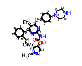 CCc1c(Oc2ccc(N3CCNCC3)cc2)nc(NS(=O)(=O)c2cnn(C)c2)nc1-c1ccccc1COC